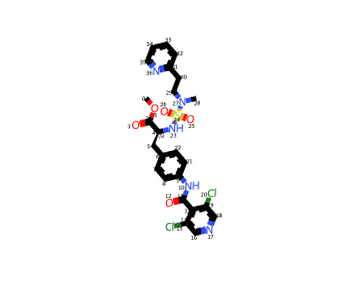 COC(=O)[C@H](Cc1ccc(NC(=O)c2c(Cl)cncc2Cl)cc1)NS(=O)(=O)N(C)CCc1ccccn1